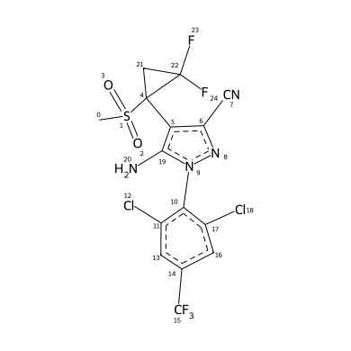 CS(=O)(=O)C1(c2c(C#N)nn(-c3c(Cl)cc(C(F)(F)F)cc3Cl)c2N)CC1(F)F